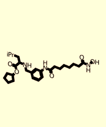 CC(C)CC(NCc1cccc(NC(=O)CCCCCCC(=O)NO)c1)C(=O)OC1CCCC1